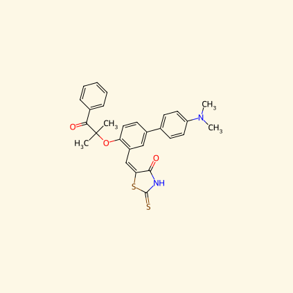 CN(C)c1ccc(-c2ccc(OC(C)(C)C(=O)c3ccccc3)c(/C=C3/SC(=S)NC3=O)c2)cc1